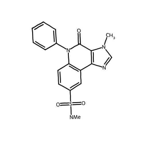 CNS(=O)(=O)c1ccc2c(c1)c1ncn(C)c1c(=O)n2-c1ccccc1